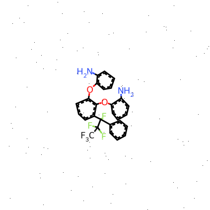 Nc1ccccc1Oc1cccc(C(F)(c2ccccc2)C(F)(F)C(F)(F)F)c1Oc1ccccc1N